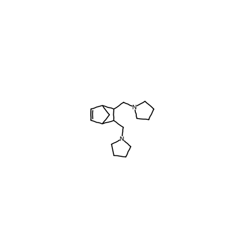 C1=CC2CC1C(CN1CCCC1)C2CN1CCCC1